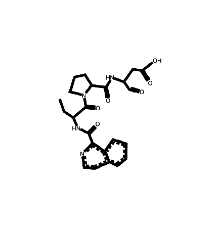 CCC(NC(=O)c1nccc2ccccc12)C(=O)N1CCCC1C(=O)NC(C=O)CC(=O)O